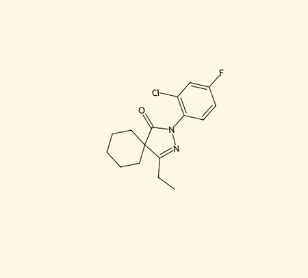 CCC1=NN(c2ccc(F)cc2Cl)C(=O)C12CCCCC2